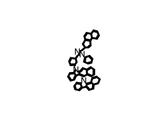 C1=CC2C=CC3=C(C=CC(C4=NC(C5C=CC=C(n6c7ccccc7c7c(-n8c9ccccc9c9ccc%10c(c98)C=CCC%10)c8ccccc8cc76)C5)N4c4ccccc4)C3)C2C=C1